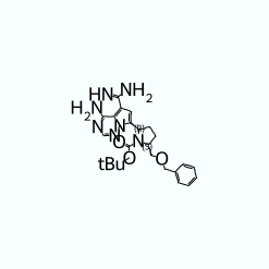 CC(C)(C)OC(=O)N1[C@H](COCc2ccccc2)CC[C@@H]1c1cc(C(=N)N)c2c(N)ncnn12